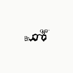 O=[N+]([O-])c1ccccc1Cc1ccc(CBr)cc1